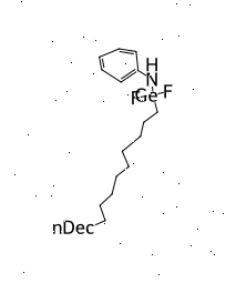 CCCCCCCCCCCCCCCCCC[CH2][Ge]([F])([F])[NH]c1ccccc1